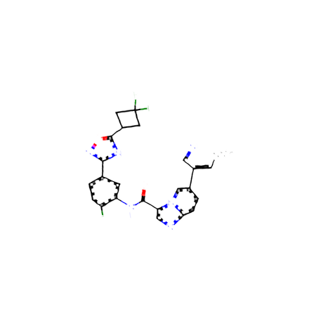 CN/C=C(\C=N)c1ccc2ncc(C(=O)Nc3cc(-c4noc(C5CC(F)(F)C5)n4)ccc3F)n2c1